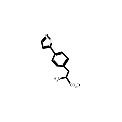 CCOC(=O)C(N)Cc1ccc(-c2ccno2)cc1